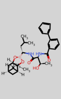 CC(C)C[C@H](NC(=O)[C@@H](NC(=O)c1cccc(-c2ccccc2)c1)[C@@H](C)O)B1O[C@@H]2C[C@@H]3C[C@@H](C3(C)C)[C@]2(C)O1